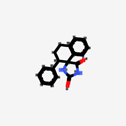 O=C1NC(=O)C2(N1)c1ccccc1CCC2c1ccccc1